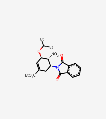 CCOC(=O)C1=C[C@@H](OC(CC)CC)[C@H]([N+](=O)[O-])[C@@H](N2C(=O)c3ccccc3C2=O)C1